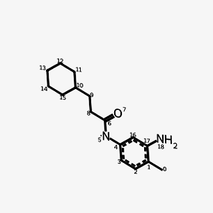 Cc1ccc([N]C(=O)CCC2CCCCC2)cc1N